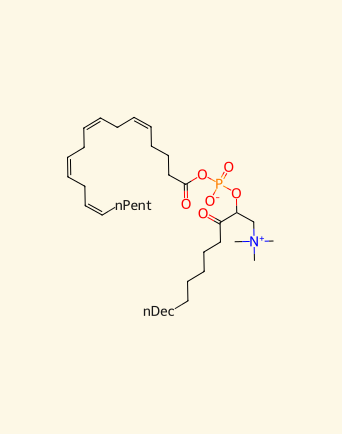 CCCCC/C=C\C/C=C\C/C=C\C/C=C\CCCC(=O)OP(=O)([O-])OC(C[N+](C)(C)C)C(=O)CCCCCCCCCCCCCCC